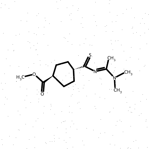 COC(=O)[C@H]1CC[C@H](C(=S)/N=C(\C)N(C)C)CC1